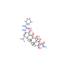 CN(C)C1C=C(NC(=N)NC2CCCCC2)C(O)C2C(=O)C3C(O)[C@]4(C)C(=O)C(C(N)=O)=C(O)C[C@@H]4C[C@@H]3CC21